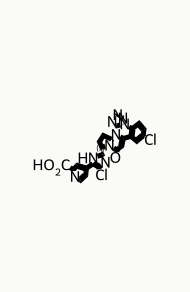 O=C(O)c1cc(-c2[nH]c([C@@H]3CCc4nc(-c5cc(Cl)ccc5-n5cnnn5)cc(=O)n43)nc2Cl)ccn1